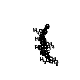 C[C@H]1CN(C2COC2)CCN1c1ccc(Nc2cc(-c3cc(F)cc(-n4ncc5cc(C(C)(C)C)cc(F)c5c4=O)c3CO)cn(C)c2=O)nc1